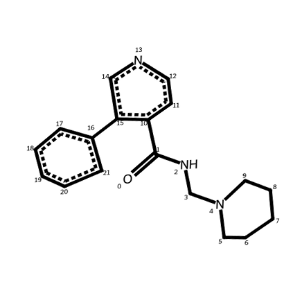 O=C(NCN1CCCCC1)c1ccn[c]c1-c1ccccc1